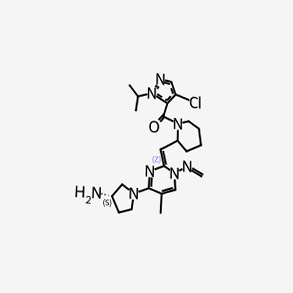 C=NN1C=C(C)C(N2CC[C@H](N)C2)=N/C1=C/C1CCCCN1C(=O)c1c(Cl)cnn1C(C)C